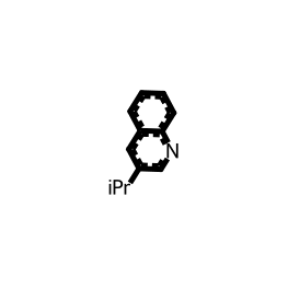 CC(C)c1cnc2ccccc2c1